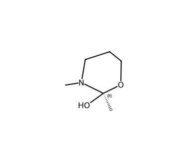 CN1CCCO[C@@]1(C)O